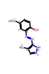 CCCCCCCCc1ccc(O)c(/N=N/c2[nH]ncc2C#N)c1